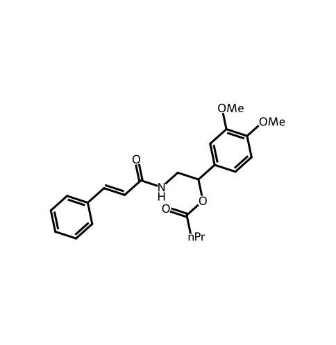 CCCC(=O)OC(CNC(=O)C=Cc1ccccc1)c1ccc(OC)c(OC)c1